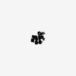 O=[N+]([O-])[O-].O=[N+]([O-])[O-].[Ca+2].[N]